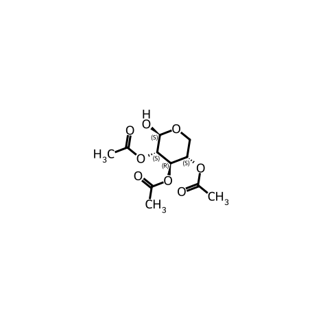 CC(=O)O[C@H]1[C@H](OC(C)=O)[C@@H](O)OC[C@@H]1OC(C)=O